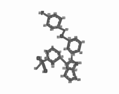 CS(=O)(=O)c1nccc(-c2c(-c3cccc(OCc4ccc(F)cc4)c3)nc3sccn23)n1